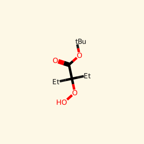 CCC(CC)(OO)C(=O)OC(C)(C)C